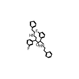 O=C(C(CNCCc1ccccc1)c1cccc(F)c1)C(CNCCc1ccccc1)c1cccc(F)c1